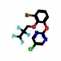 FC(F)C(F)(F)COc1c(Br)cccc1Oc1ncc(Cl)cn1